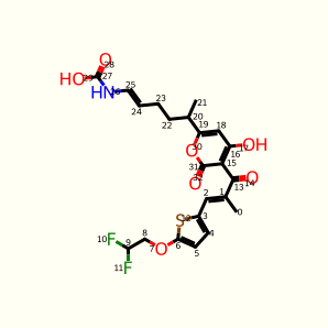 CC(=Cc1ccc(OCC(F)F)s1)C(=O)c1c(O)cc(C(C)CCC=CNC(=O)O)oc1=O